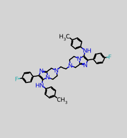 Cc1ccc(Nc2c(-c3ccc(F)cc3)nc3n2CCN(CCN2CCn4c(nc(-c5ccc(F)cc5)c4Nc4ccc(C)cc4)C2)C3)cc1